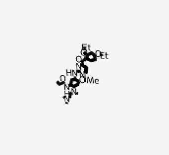 C=CC(=O)Nc1cc(Nc2nccc(C(=O)c3ccc(OCC)cc3OCC)n2)c(OC)cc1N(C)CCN(C)C